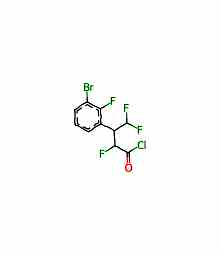 O=C(Cl)C(F)C(c1cccc(Br)c1F)C(F)F